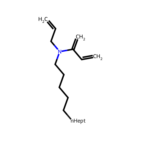 C=CCN(CCCCCCCCCCCC)C(=C)C=C